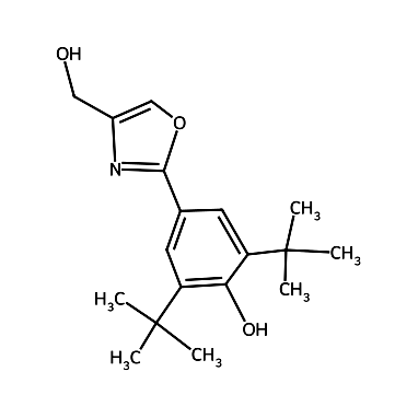 CC(C)(C)c1cc(-c2nc(CO)co2)cc(C(C)(C)C)c1O